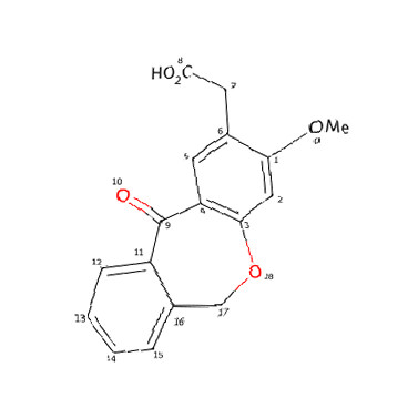 COc1cc2c(cc1CC(=O)O)C(=O)c1ccccc1CO2